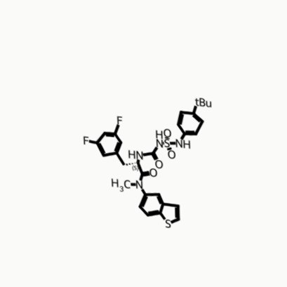 CN(C(=O)[C@H](Cc1cc(F)cc(F)c1)NC(=O)NS(=O)(=O)Nc1ccc(C(C)(C)C)cc1)c1ccc2sccc2c1